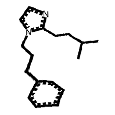 CC(C)CCc1nccn1CCCc1ccccc1